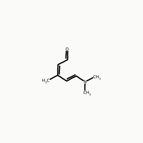 CC(C=CN(C)C)=CC=O